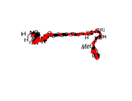 CO[C@@H](CC1CCCC(C(=O)C(=O)N2CCCCC2)O1)/C(C)=C/C=C/C=C/[C@@H](C)C[C@@H](C)C(=O)C[C@H](O)/C(C)=C/[C@@H](C)CC[C@@H](CC[C@H]1CC[C@H](OC(=O)NCCOCCOCCOCCOCCOCCOCCOCCOCCC(=O)N2CCc3nc(Cn4nc(-c5ccc6oc(N)nc6c5)c5c(N)ncnc54)ncc3C2)CC1)OC=O